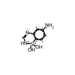 Nc1ccc2c(c1)N=CNS2(O)O